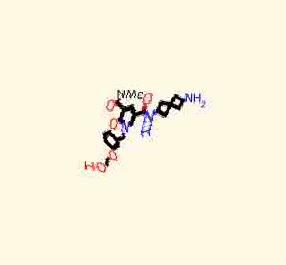 CNC(=O)c1cc(C(=O)NC2CC3(CC(N)C3)C2)cn(Cc2cccc(OCCO)c2)c1=O